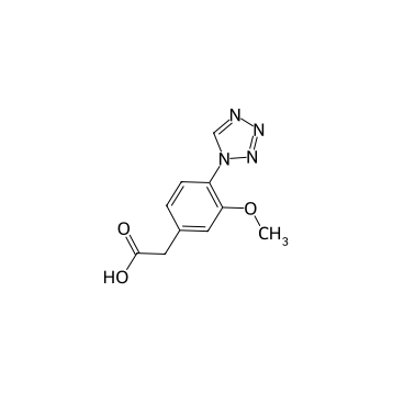 COc1cc(CC(=O)O)ccc1-n1cnnn1